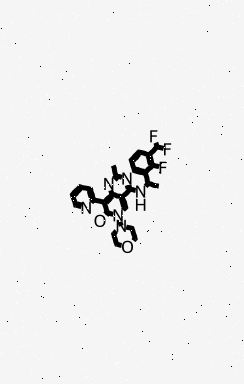 Cc1nc(NC(C)c2cccc(C(F)F)c2F)c2cn(N3CCOCC3)c(=O)c(-c3ccccn3)c2n1